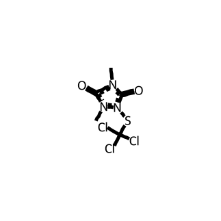 Cn1c(=O)n(C)n(SC(Cl)(Cl)Cl)c1=O